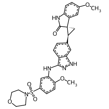 COc1ccc2c(c1)[C@]1(C[C@H]1c1ccc3c(Nc4cc(S(=O)(=O)N5CCOCC5)ccc4OC)n[nH]c3c1)C(=O)N2